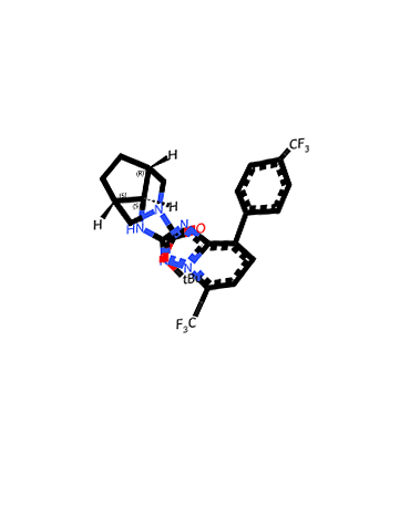 CC(C)(C)OC(=O)N1C[C@H]2CC[C@@H](C1)[C@@H]2Nc1nc2c(-c3ccc(C(F)(F)F)cc3)ccc(C(F)(F)F)n2n1